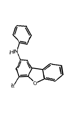 Brc1cc(Nc2ccccc2)cc2c1oc1ccccc12